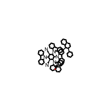 N#Cc1c(-n2c3ccccc3c3ccccc32)c(C#N)c(-n2c3ccccc3c3ccccc32)c(-n2c3ccc(-c4c(-c5ccccc5)ccc5ccccc45)cc3c3ccc4c5ccccc5sc4c32)c1-n1c2ccccc2c2ccccc21